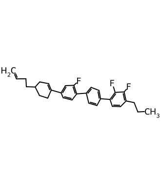 C=CCCC1CC=C(c2ccc(-c3ccc(-c4ccc(CCC)c(F)c4F)cc3)c(F)c2)CC1